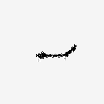 CN(C)c1ccc2nc(-c3ccc(-c4ccc(NCCOCCOCCOCCOCCOCCOc5ccc6c(c5)C(=O)N(C5CCC(=O)NC5=O)C6=O)nc4)cc3)sc2c1